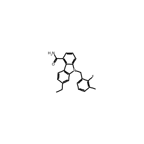 CCc1c[c]c2c3c(C(N)=O)cccc3n(Cc3cccc(C)c3F)c2c1